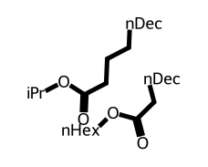 CCCCCCCCCCCC(=O)OCCCCCC.CCCCCCCCCCCCCC(=O)OC(C)C